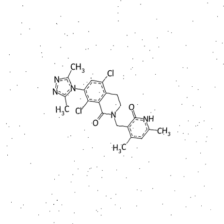 Cc1cc(C)c(CN2CCc3c(Cl)cc(-n4c(C)nnc4C)c(Cl)c3C2=O)c(=O)[nH]1